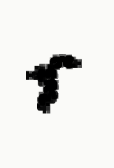 O=C(O)C(F)(F)F.O=C1CCC(N2Cc3c(ccc(N4CCC(CN5CCC(CC6CCNCC6)CC5)CC4)c3Cl)C2=O)C(=O)N1